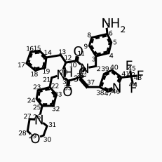 CN(Cc1ccc(N)cc1)C(=O)C(Cc1ccccc1)N(Cc1ccc(N2CCOCC2)cc1)C(=O)C=Cc1ccc(C(F)(F)F)nc1